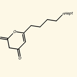 CCCCCCCCCCCC1=CC(=O)CC(=O)O1